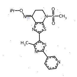 Cc1nc(-c2cccnc2)sc1-c1nc2c(s1)N(S(C)(=O)=O)CC/C2=N\OC(C)C